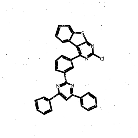 Clc1nc(-c2cccc(-c3nc(-c4ccccc4)cc(-c4ccccc4)n3)c2)c2c(n1)sc1ccccc12